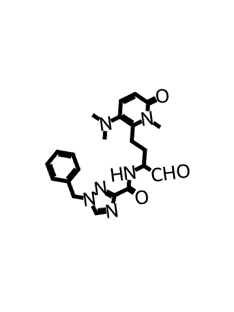 CN(C)c1ccc(=O)n(C)c1CCC(C=O)NC(=O)c1ncn(Cc2ccccc2)n1